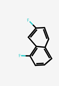 Fc1ccc2cccc(F)c2c1